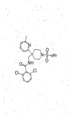 CCCS(=O)(=O)N1CCC(CNC(=O)c2c(Cl)cccc2Cl)(c2cccc(C)n2)CC1